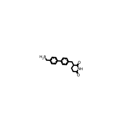 BCc1ccc(-c2ccc(CC3CCC(=O)NC3=O)cc2)cc1